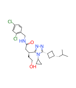 CC(C)C[C@H]1C[C@@H](c2nnc([C@@H](CCO)CC(=O)NCc3ccc(Cl)cc3Cl)n2C2CC2)C1